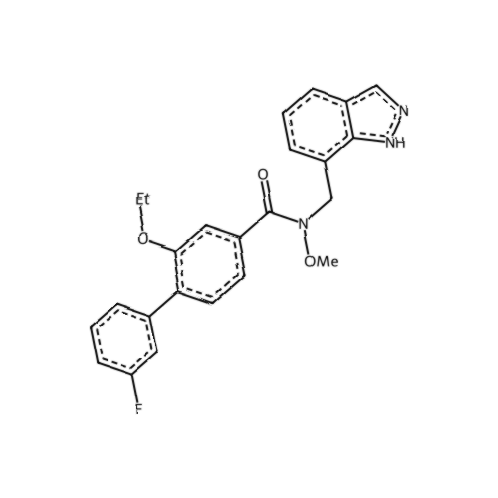 CCOc1cc(C(=O)N(Cc2cccc3cn[nH]c23)OC)ccc1-c1cccc(F)c1